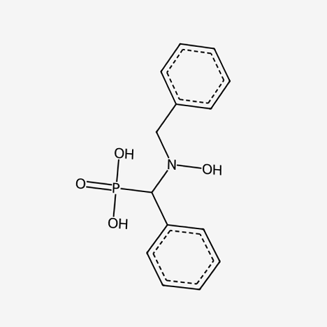 O=P(O)(O)C(c1ccccc1)N(O)Cc1ccccc1